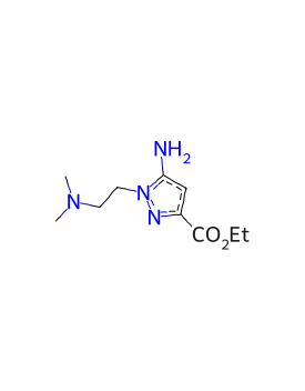 CCOC(=O)c1cc(N)n(CCN(C)C)n1